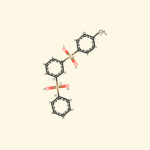 Cc1ccc(S(=O)(=O)c2[c]ccc(S(=O)(=O)c3ccccc3)c2)cc1